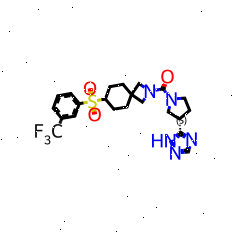 O=C(N1CC[C@H](c2ncn[nH]2)C1)N1CC2(CCC(S(=O)(=O)c3cccc(C(F)(F)F)c3)CC2)C1